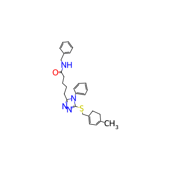 CC1=CC=C(CSc2nnc(CCCCC(=O)NCc3ccccc3)n2-c2ccccc2)CC1